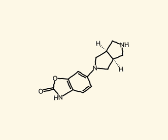 O=c1[nH]c2ccc(N3C[C@H]4CNC[C@H]4C3)cc2o1